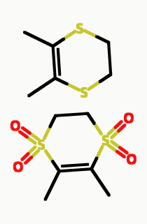 CC1=C(C)S(=O)(=O)CCS1(=O)=O.CC1=C(C)SCCS1